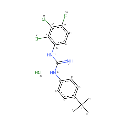 CC(C)(C)c1ccc(NC(=N)Nc2ccc(Cl)c(Cl)c2Cl)cc1.Cl